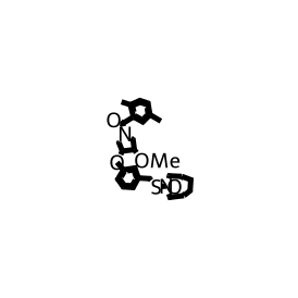 COC1CN(C(=O)c2cc(C)ccc2C)CC1Oc1cccc(CSN2CC3CCC(C2)O3)c1